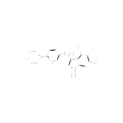 Fc1cc2[nH]cc(Nc3ccc(N4CCOCC4)nc3)c2c(F)c1Cl